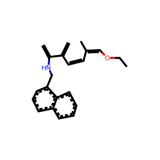 C=C(/C=C\C(C)=C/OCC)C(=C)NCc1cccc2ccccc12